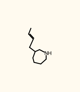 CC=CCC1CCCCNC1